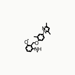 CNc1cccc(OC)c1COc1ccc(-n2nc(C)cc2C)cc1C